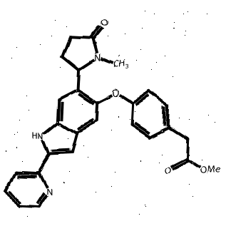 COC(=O)Cc1ccc(Oc2cc3cc(-c4ccccn4)[nH]c3cc2C2CCC(=O)N2C)cc1